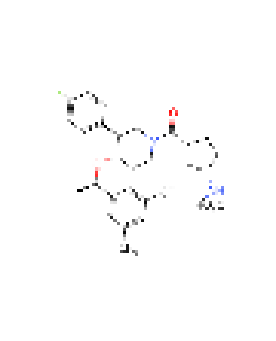 C[C@@H](O[C@H]1CCN(C(=O)[C@@H]2CC[C@H](NC(=O)O)C2)C[C@@H]1c1ccc(F)cc1)c1cc(C(F)(F)F)cc(C(F)(F)F)c1